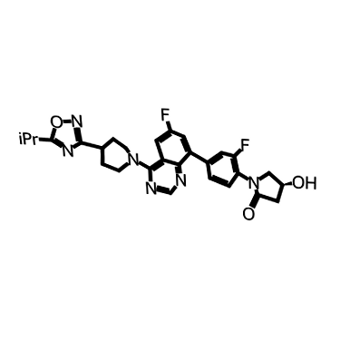 CC(C)c1nc(C2CCN(c3ncnc4c(-c5ccc(N6C[C@@H](O)CC6=O)c(F)c5)cc(F)cc34)CC2)no1